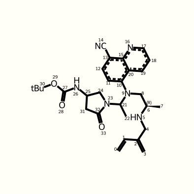 C=CC(=C)CN[C@H](C)CN(c1ccc(C#N)c2ncccc12)C(C)N1CC(NC(=O)OC(C)(C)C)CC1=O